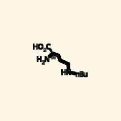 CCCCNCCC[C@H](N)C(=O)O